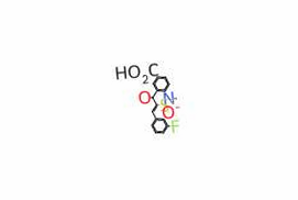 CN1c2ccc(C(=O)O)cc2C(=O)/C(=C/c2cccc(F)c2)[S+]1[O-]